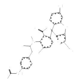 CC(=O)Nc1ccc(CC(C)N(C)c2c(C)ccc3c2C(=O)OC32c3ccc(O)cc3Oc3cc(O)ccc32)cc1